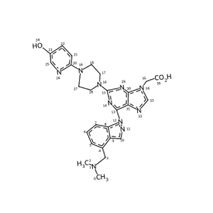 CN(C)Cc1cccc2c1cnn2-c1nc(N2CCN(c3ccc(O)cn3)CC2)nc2c1ncn2CC(=O)O